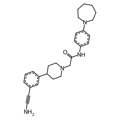 NC#Cc1cccc(C2CCN(CC(=O)Nc3ccc(N4CCCCCC4)cc3)CC2)c1